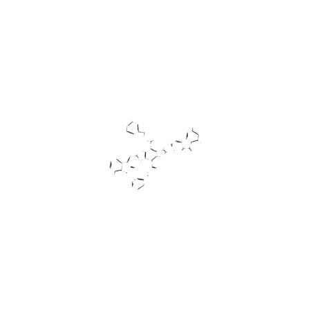 O=C1C(=O)c2c(F)cc(F)cc2/C1=C/c1nc2sc3c(C(=O)OCc4ccccc4)c4nc(/C=C5\C(=O)C(O)c6c(F)cc(F)cc65)sc4c(C(=O)OCc4ccccc4)c3c2s1